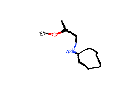 CCO[C](C)CNC1CCCCC1